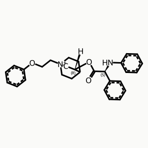 O=C(O[C@H]1C[N+]2(CCOc3ccccc3)CCC1CC2)[C@@H](Nc1ccccc1)c1ccccc1